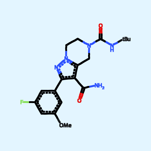 COc1cc(F)cc(-c2nn3c(c2C(N)=O)CN(C(=O)NC(C)(C)C)CC3)c1